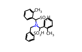 Cc1ccccc1C(N(Cc1ccccc1)C(c1ccccc1C)S(=O)(=O)O)S(=O)(=O)O